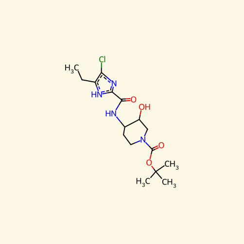 CCc1[nH]c(C(=O)NC2CCN(C(=O)OC(C)(C)C)CC2O)nc1Cl